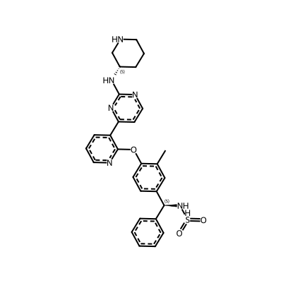 Cc1cc([C@@H](N[SH](=O)=O)c2ccccc2)ccc1Oc1ncccc1-c1ccnc(N[C@H]2CCCNC2)n1